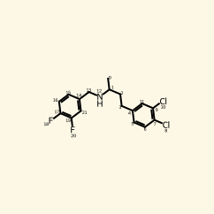 CC(CCc1ccc(Cl)c(Cl)c1)NCc1ccc(F)c(F)c1